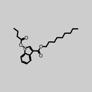 CCCCCCCCCOC(=O)c1cn(OC(=O)CCC)c2ccccc12